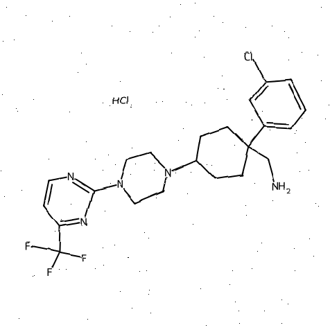 Cl.NCC1(c2cccc(Cl)c2)CCC(N2CCN(c3nccc(C(F)(F)F)n3)CC2)CC1